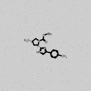 Cc1ccc(-c2c[nH]c([C@@H]3C[C@H](C)CN3C(=O)OC(C)(C)C)n2)cc1